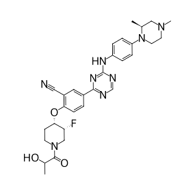 CC(O)C(=O)N1CC[C@H](Oc2ccc(-c3ncnc(Nc4ccc(N5CCN(C)C[C@@H]5C)cc4)n3)cc2C#N)[C@H](F)C1